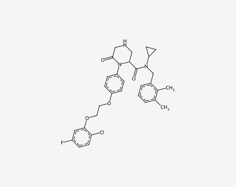 Cc1cccc(CN(C(=O)C2CNCC(=O)N2c2ccc(OCCOc3cc(F)ccc3Cl)cc2)C2CC2)c1C